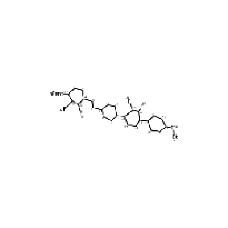 CCCCCC1CCC(CCC2CCC(C3CCC(C4CCC(OCC)CC4)C(F)C3F)CC2)C(F)C1F